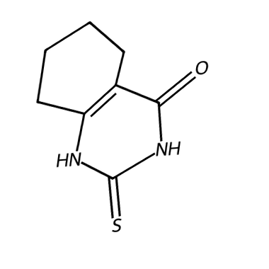 O=c1[nH]c(=S)[nH]c2c1CCCC2